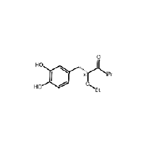 CCO[C@H](Cc1ccc(O)c(O)c1)C(=O)C(C)C